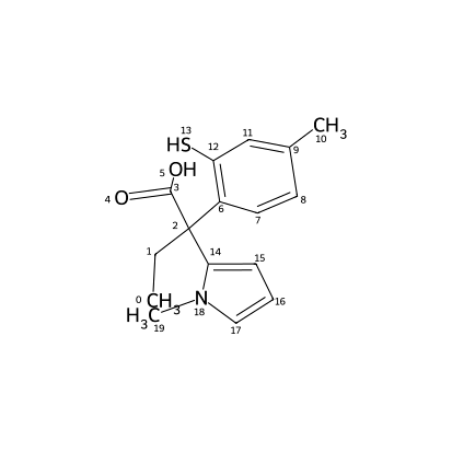 CCC(C(=O)O)(c1ccc(C)cc1S)c1cccn1C